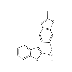 Cc1cc2ccc(C[C@H](C)c3cc4ccccc4s3)cc2o1